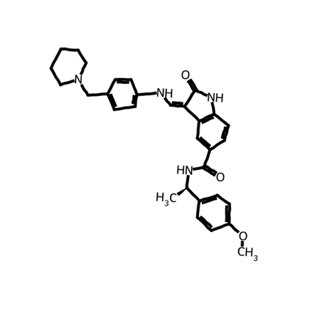 COc1ccc([C@@H](C)NC(=O)c2ccc3c(c2)/C(=C/Nc2ccc(CN4CCCCC4)cc2)C(=O)N3)cc1